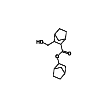 O=C(OC1CC2CCC1C2)C1C2CCC(C2)C1CO